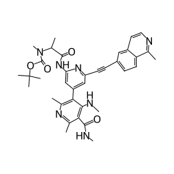 CNC(=O)c1c(C)nc(C)c(-c2cc(C#Cc3ccc4c(C)nccc4c3)nc(NC(=O)C(C)N(C)C(=O)OC(C)(C)C)c2)c1NC